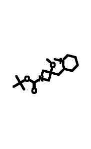 COC1(CC2CCCCN2C)CN(C(=O)OC(C)(C)C)C1